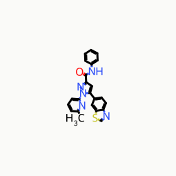 Cc1cccc(-n2nc(C(=O)Nc3ccccc3)cc2-c2ccc3ncsc3c2)n1